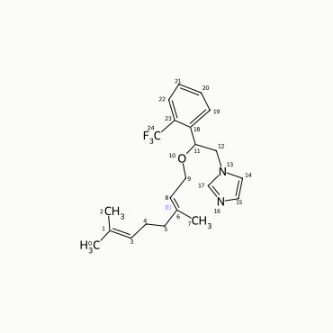 CC(C)=CCC/C(C)=C/COC(Cn1ccnc1)c1ccccc1C(F)(F)F